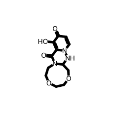 O=C1c2c(O)c(=O)ccn2NC2COCCOCCN12